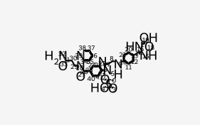 CS(=O)(=O)O.Cn1c(CNc2ccc(C(=N)NC(=O)O)cc2)nc2cc(C(=O)N(CCC(N)=O)c3ccccn3)ccc21